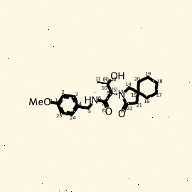 COc1ccc(CNC(=O)[C@H]([C@@H](C)O)N2CC3(CCCCC3)CC2=O)cc1